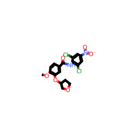 COc1ccc(C(=O)Nc2c(Cl)cc([N+](=O)[O-])cc2Cl)cc1OC1CCOC1